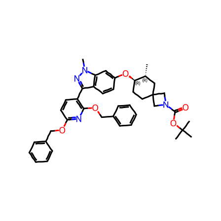 C[C@@H]1CC2(CC[C@H]1Oc1ccc3c(-c4ccc(OCc5ccccc5)nc4OCc4ccccc4)nn(C)c3c1)CN(C(=O)OC(C)(C)C)C2